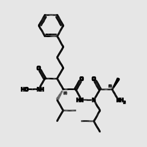 CC(C)C[C@@H](C(=O)NN(CC(C)C)C(=O)[C@@H](C)N)C(CCCc1ccccc1)C(=O)NO